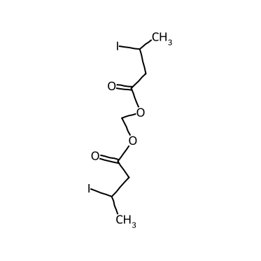 CC(I)CC(=O)OCOC(=O)CC(C)I